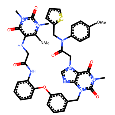 CNc1c(NCC(=O)Nc2ccccc2Oc2cccc(Cn3c(=O)n(C)c(=O)c4c3ncn4CC(=O)N(Cc3cccs3)c3ccc(OC)cc3)c2)c(=O)n(C)c(=O)n1C